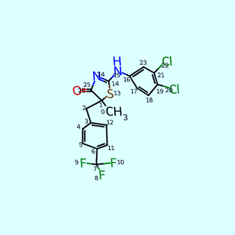 CC1(Cc2ccc(C(F)(F)F)cc2)SC(Nc2ccc(Cl)c(Cl)c2)=NC1=O